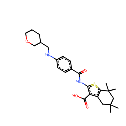 CC1(C)Cc2c(sc(NC(=O)c3ccc(NCC4CCCOC4)cc3)c2C(=O)O)C(C)(C)C1